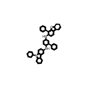 C1=Cc2c(oc3c(-c4ccccc4)c(Nc4ccc(Nc5ccc6c(c5)c5ccccc5n6-c5ccccc5)c(-c5ccccc5)c4)ccc23)CC1